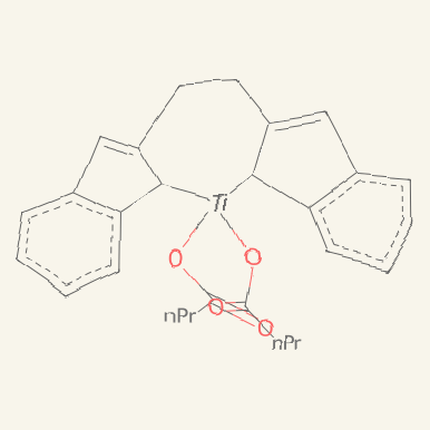 CCCC(=O)[O][Ti]1([O]C(=O)CCC)[CH]2C(=Cc3ccccc32)CCC2=Cc3ccccc3[CH]21